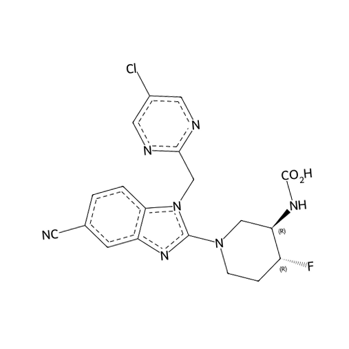 N#Cc1ccc2c(c1)nc(N1CC[C@@H](F)[C@H](NC(=O)O)C1)n2Cc1ncc(Cl)cn1